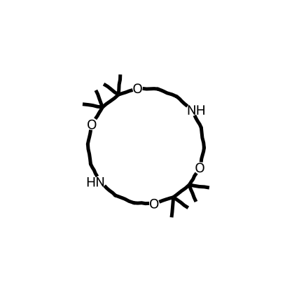 CC1(C)OCCNCCOC(C)(C)C(C)(C)OCCNCCOC1(C)C